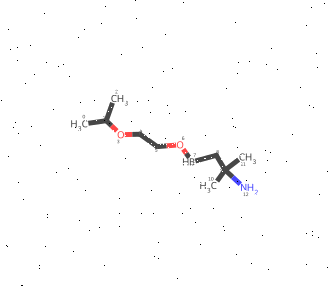 CC(C)OCCOBCC(C)(C)N